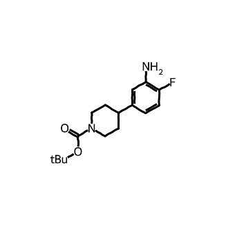 CC(C)(C)OC(=O)N1CCC(c2ccc(F)c(N)c2)CC1